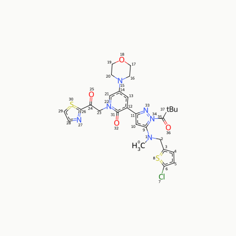 CN(Cc1ccc(Cl)s1)c1cc(-c2cc(N3CCOCC3)cn(CC(=O)c3nccs3)c2=O)nn1C(=O)C(C)(C)C